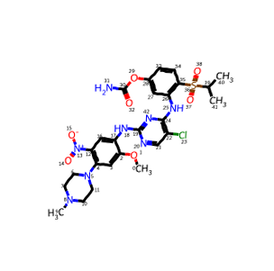 COc1cc(N2CCN(C)CC2)c([N+](=O)[O-])cc1Nc1ncc(Cl)c(Nc2cc(OC(N)=O)ccc2S(=O)(=O)C(C)C)n1